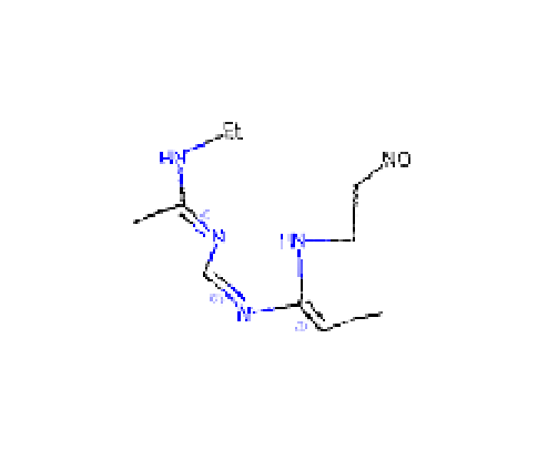 C/C=C(/N=C\N=C(/C)NCC)NCCN=O